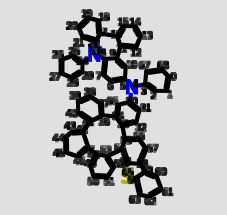 c1ccc(N(c2ccc3c(c2)-c2ccccc2-c2ccccc2N3c2ccccc2)c2ccc3c(c2)c2ccccc2c2ccccc2c2ccccc2c2c3ccc3c4ccccc4sc32)cc1